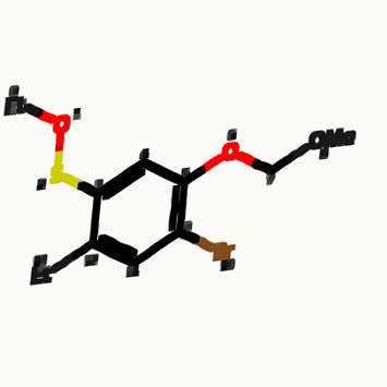 CCOSc1cc(OCOC)c(Br)cc1CC